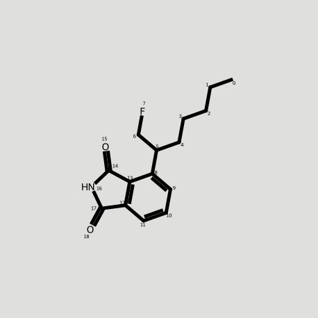 CCCCCC(CF)c1cccc2c1C(=O)NC2=O